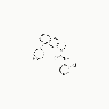 O=C(Nc1ccccc1Cl)N1CCc2cc3ccnc(N4CCNCC4)c3cc21